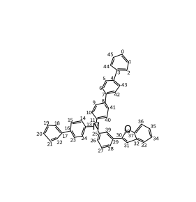 c1ccc(-c2ccc(-c3ccc(N(c4ccc(-c5ccccc5)cc4)c4cccc(-c5cc6ccccc6o5)c4)cc3)cc2)cc1